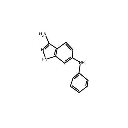 Nc1n[nH]c2cc(Nc3ccccc3)ccc12